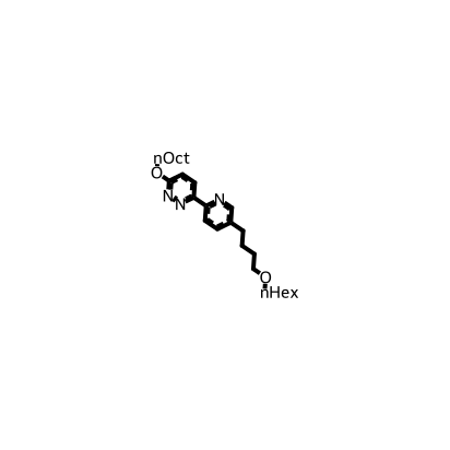 CCCCCCCCOc1ccc(-c2ccc(CCCCOCCCCCC)cn2)nn1